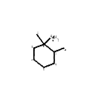 CC1CCCCC1(C)[SiH3]